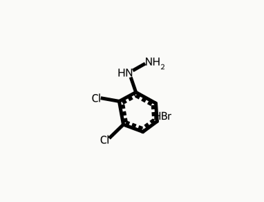 Br.NNc1cccc(Cl)c1Cl